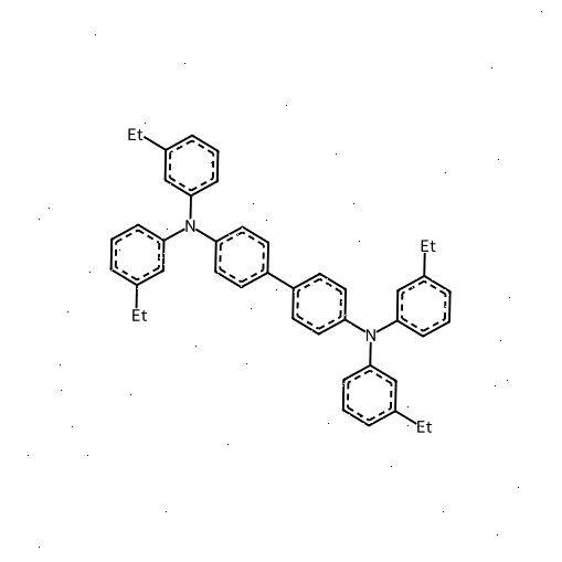 CCc1cccc(N(c2ccc(-c3ccc(N(c4cccc(CC)c4)c4cccc(CC)c4)cc3)cc2)c2cccc(CC)c2)c1